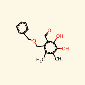 Cc1c(C)c(COCc2ccccc2)c(C=O)c(O)c1O